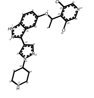 CC(Oc1ccc2[nH]nc(-c3cnn(C4CCNCC4)c3)c2c1)c1c(Cl)cncc1Cl